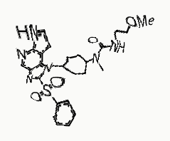 COCCNC(=O)N(C)C1CCC(n2c(S(=O)(=O)c3ccccc3)nc3cnc4[nH]ccc4c32)CC1